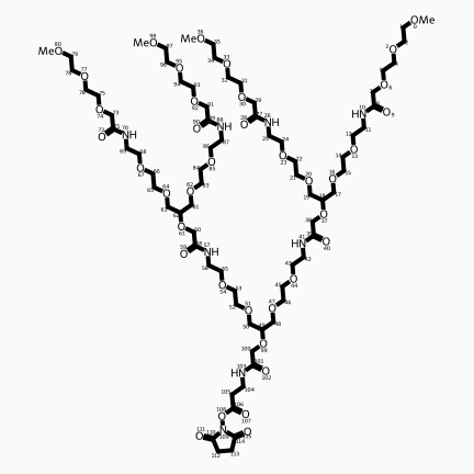 COCCOCCOCC(=O)NCCOCCOCC(COCCOCCNC(=O)COCCOCCOC)OCC(=O)NCCOCCOCC(COCCOCCNC(=O)COC(COCCOCCNC(=O)COCCOCCOC)COCCOCCNC(=O)COCCOCCOC)OCC(=O)NCCC(=O)ON1C(=O)CCC1=O